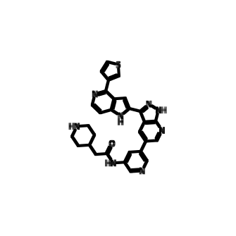 O=C(CC1CCNCC1)Nc1cncc(-c2cnc3[nH]nc(-c4cc5c(-c6ccsc6)nccc5[nH]4)c3c2)c1